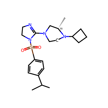 CC(C)c1ccc(S(=O)(=O)N2CCN=C2N2CCN(C3CCC3)[C@@H](C)C2)cc1